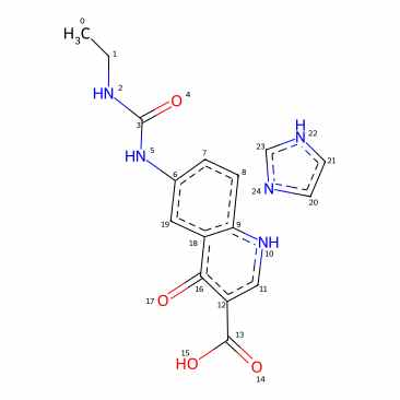 CCNC(=O)Nc1ccc2[nH]cc(C(=O)O)c(=O)c2c1.c1c[nH]cn1